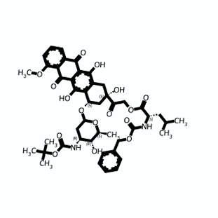 COc1cccc2c1C(=O)c1c(O)c3c(c(O)c1C2=O)C[C@@](O)(C(=O)COC(=O)[C@H](CC(C)C)NC(=O)OCc1ccccc1)C[C@@H]3OC1C[C@@H](NC(=O)OC(C)(C)C)[C@@H](O)[C@H](C)O1